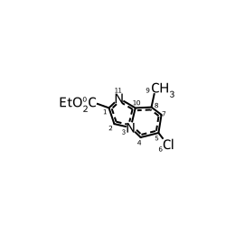 CCOC(=O)c1cn2cc(Cl)cc(C)c2n1